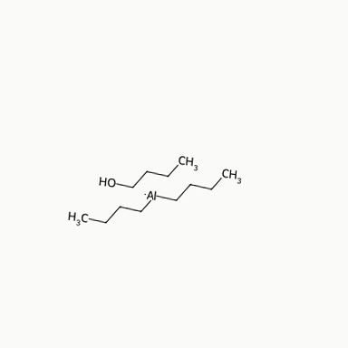 CCCCO.CCC[CH2][Al][CH2]CCC